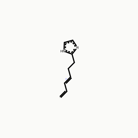 [CH]=C/C=C/CCc1ncc[nH]1